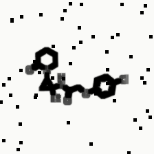 CCC1(NC(=O)COc2ccc(Cl)cc2)CC1N1CCCCC1=O